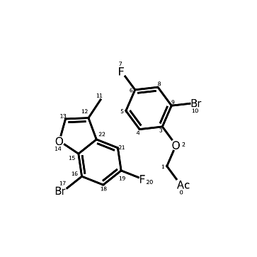 CC(=O)COc1ccc(F)cc1Br.Cc1coc2c(Br)cc(F)cc12